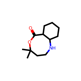 CC1(C)CCNC2CCCCC2C(=O)O1